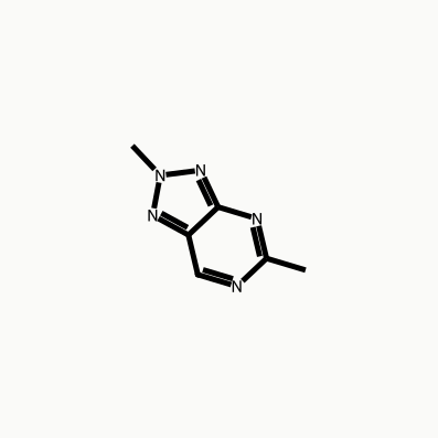 Cc1ncc2nn(C)nc2n1